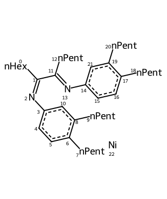 CCCCCCC(=Nc1ccc(CCCCC)c(CCCCC)c1)C(CCCCC)=Nc1ccc(CCCCC)c(CCCCC)c1.[Ni]